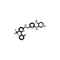 COC1CCNCC1Nc1cccc(SNc2ccc(C(F)(F)F)c(-c3ccccc3C)n2)n1